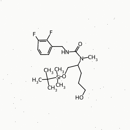 CN(C(=O)NCc1cccc(F)c1F)C(CCCO)CO[Si](C)(C)C(C)(C)C